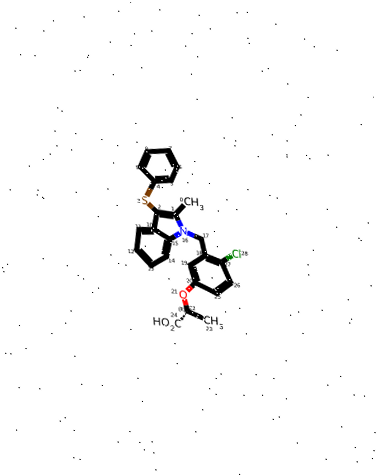 Cc1c(Sc2ccccc2)c2ccccc2n1Cc1cc(O[C@H](C)C(=O)O)ccc1Cl